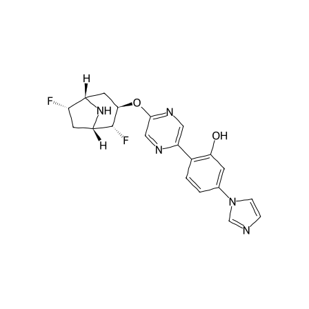 Oc1cc(-n2ccnc2)ccc1-c1cnc(O[C@@H]2C[C@@H]3N[C@@H](C[C@@H]3F)[C@H]2F)cn1